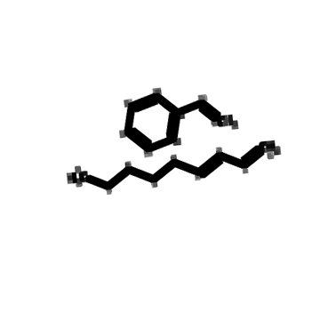 C=CC=CCCCCC.C=Cc1ccccc1